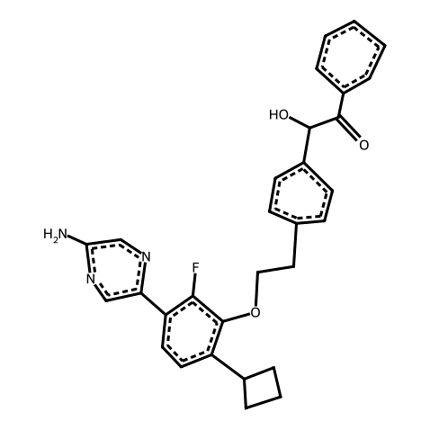 Nc1cnc(-c2ccc(C3CCC3)c(OCCc3ccc(C(O)C(=O)c4ccccc4)cc3)c2F)cn1